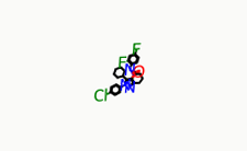 CC(=O)N(c1ccc(F)cc1F)C1CCCCC1c1c2c(nn1-c1ccc(Cl)cc1)CCCC2